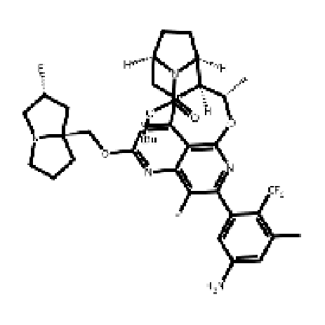 Cc1cc(N)cc(-c2nc3c4c(nc(OC[C@@]56CCCN5C[C@H](F)C6)nc4c2F)N2C[C@H]4CC[C@@H]([C@H]2[C@H](C)O3)N4C(=O)OC(C)(C)C)c1C(F)(F)F